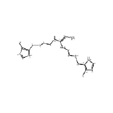 Cc1nc[nH]c1CSCCNC(=C[N+](=O)[O-])NCCSCc1[nH]cnc1C